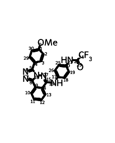 COc1ccc(-c2nnc3c4ccccc4c(Nc4ccc(NC(=O)C(F)(F)F)cc4)nn23)cc1